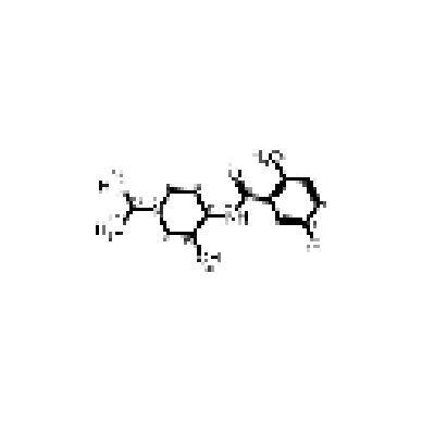 Cc1ccc(F)cc1C(=O)NC1CCN(C(C)C)CC1O